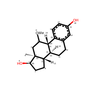 COC1C[C@]2(C)[C@H](O)CC[C@H]2[C@@H]2CCc3cc(O)ccc3[C@@H]12